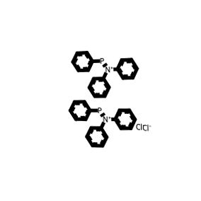 [Cl-].[Cl-].c1ccc(P=[N+](c2ccccc2)c2ccccc2)cc1.c1ccc(P=[N+](c2ccccc2)c2ccccc2)cc1